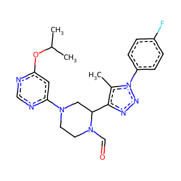 Cc1c(C2CN(c3cc(OC(C)C)ncn3)CCN2C=O)nnn1-c1ccc(F)cc1